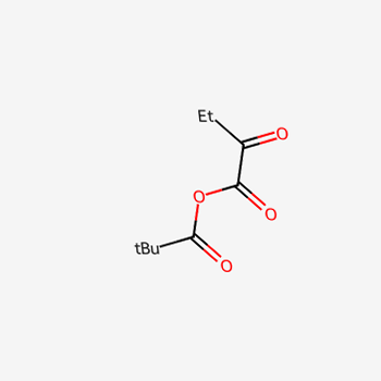 CCC(=O)C(=O)OC(=O)C(C)(C)C